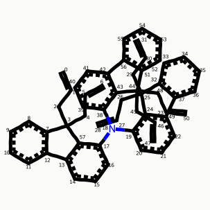 C=CCC1(CC=C)c2ccccc2-c2cccc(N(c3cccc4c3C(CC=C)(CC=C)c3ccccc3-4)c3cccc4c3C(CC=C)(CC=C)c3ccccc3-4)c21